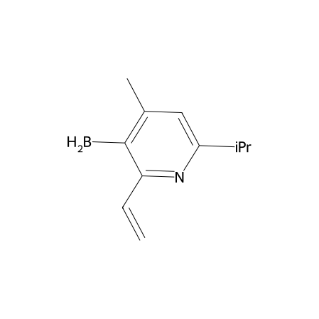 Bc1c(C)cc(C(C)C)nc1C=C